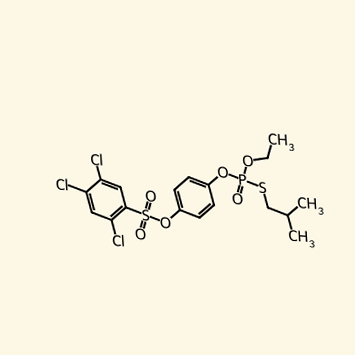 CCOP(=O)(Oc1ccc(OS(=O)(=O)c2cc(Cl)c(Cl)cc2Cl)cc1)SCC(C)C